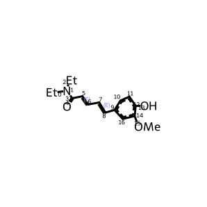 CCN(CC)C(=O)/C=C/C=C/c1ccc(O)c(OC)c1